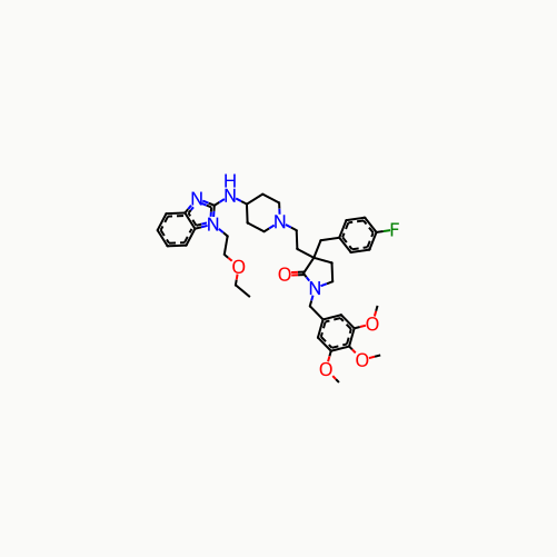 CCOCCn1c(NC2CCN(CCC3(Cc4ccc(F)cc4)CCN(Cc4cc(OC)c(OC)c(OC)c4)C3=O)CC2)nc2ccccc21